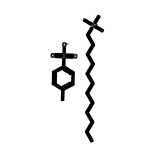 CCCCCCCCCCCC[N+](C)(C)C.Cc1ccc(S(=O)(=O)[O-])cc1